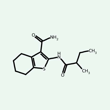 CCC(C)C(=O)Nc1sc2c(c1C(N)=O)CCCC2